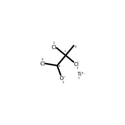 CC(Cl)(Cl)C([O-])Cl.[Ti+]